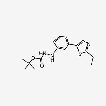 CCc1ncc(-c2cccc(NNC(=O)OC(C)(C)C)c2)s1